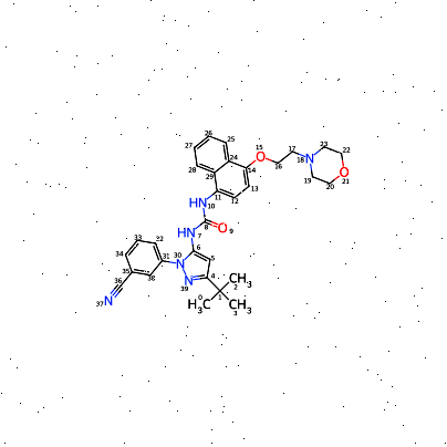 CC(C)(C)c1cc(NC(=O)Nc2ccc(OCCN3CCOCC3)c3ccccc23)n(-c2cccc(C#N)c2)n1